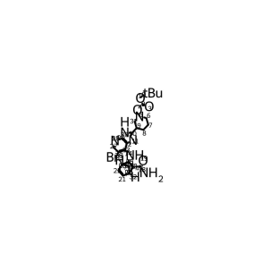 CC(C)(C)OC(=O)ON1CCCC(c2nc3c(N[C@H]4[C@@H](C(N)=O)[C@@H]5C=C[C@H]4C5)c(Br)cnc3[nH]2)C1